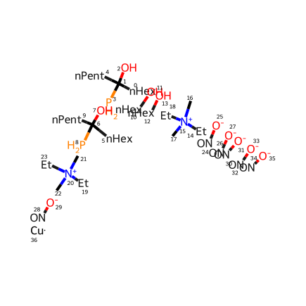 CCCCCCC(O)(P)CCCCC.CCCCCCC(O)(P)CCCCC.CCCCCCO.CCCCCCO.CC[N+](C)(C)CC.CC[N+](C)(C)CC.O=N[O-].O=N[O-].O=N[O-].O=N[O-].O=N[O-].O=N[O-].[Cu]